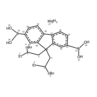 CCCCC(CC)CC1(CC(CC)CCCC)c2cc(B(O)O)ccc2-c2ccc(B(O)O)cc21.[MgH2]